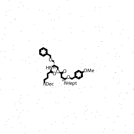 CCCCCCCCCCCCCC(=O)N[C@H](COCc1ccccc1)COC(=O)C[C@@H](CCCCCCC)OCc1ccc(OC)cc1